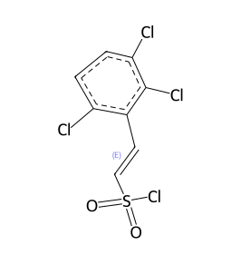 O=S(=O)(Cl)/C=C/c1c(Cl)ccc(Cl)c1Cl